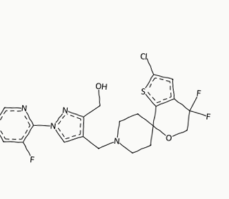 OCc1nn(-c2ncccc2F)cc1CN1CCC2(CC1)OCC(F)(F)c1cc(Cl)sc12